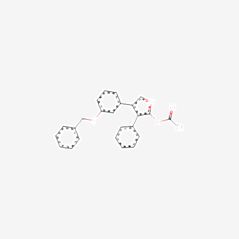 CCC(=O)Oc1occ(-c2cccc(OCc3ccccc3)c2)c1-c1ccccc1